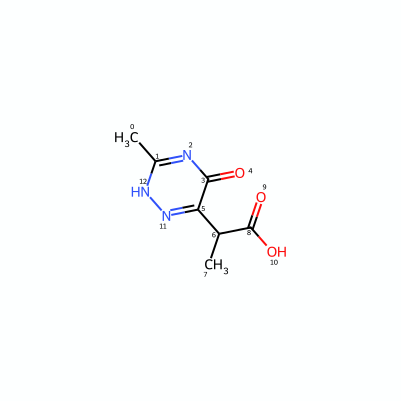 Cc1nc(=O)c(C(C)C(=O)O)n[nH]1